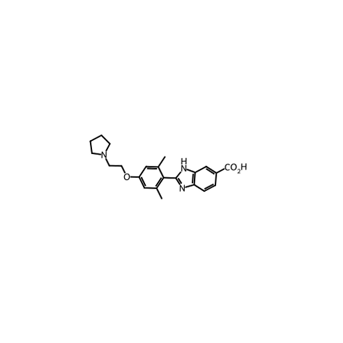 Cc1cc(OCCN2CCCC2)cc(C)c1-c1nc2ccc(C(=O)O)cc2[nH]1